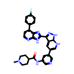 CN1CCC(C(=O)Nc2cncc(C3=CNC4NN=C(c5nc6c(-c7ccc(F)cc7)ccnc6[nH]5)C4=C3)c2)CC1